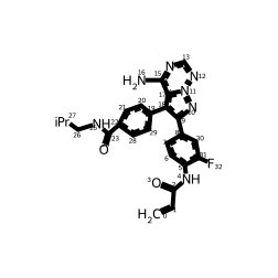 C=CC(=O)Nc1ccc(-c2nn3ncnc(N)c3c2-c2ccc(C(=O)NCC(C)C)cc2)cc1F